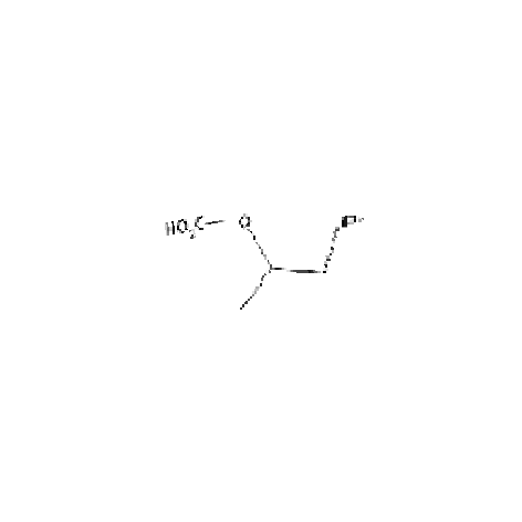 CC(C)CC(C)OC(=O)O